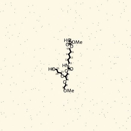 COCCOCC(COC(=O)NCCCCCCOP(=O)(O)OC)OCCCO